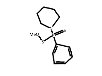 COSP(=S)(c1ccccc1)N1CCCCC1